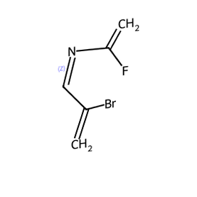 C=C(Br)/C=N\C(=C)F